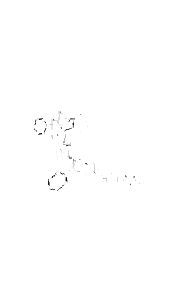 COCCN1C[C@H](NC(=O)Nc2c3c(nn2-c2ccccc2)CCCC3)[C@@H](c2ccccc2)C1